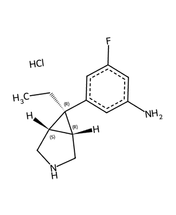 CC[C@]1(c2cc(N)cc(F)c2)[C@@H]2CNC[C@@H]21.Cl